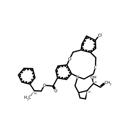 C=C[C@H](O)[C@H]1CCC1CN1CCCCc2cc(Cl)ccc2COc2ccc(C(=O)OC[C@H](C)c3ccccc3)cc21